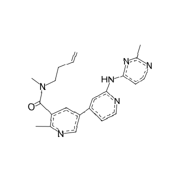 C=CCCN(C)C(=O)c1cc(-c2ccnc(Nc3ccnc(C)n3)c2)cnc1C